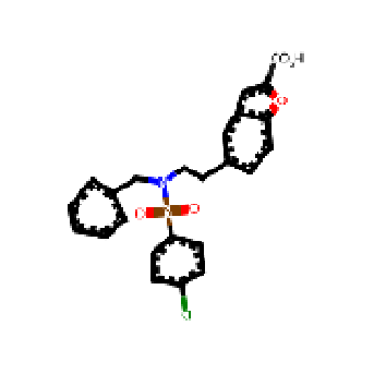 O=C(O)c1cc2cc(CCN(Cc3ccccc3)S(=O)(=O)c3ccc(Cl)cc3)ccc2o1